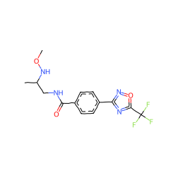 CONC(C)CNC(=O)c1ccc(-c2noc(C(F)(F)F)n2)cc1